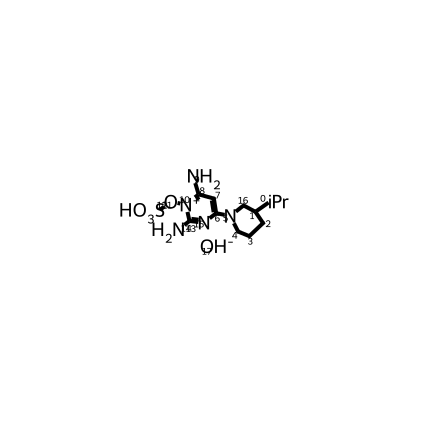 CC(C)C1CCCN(c2cc(N)[n+](OS(=O)(=O)O)c(N)n2)C1.[OH-]